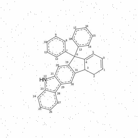 C1=CCC2C(=C1)C(c1ccccc1)(c1ccccc1)c1cc3[nH]c4ccccc4c3cc12